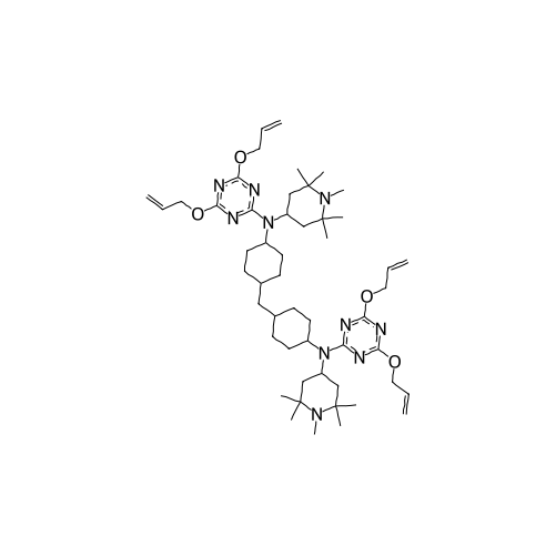 C=CCOc1nc(OCC=C)nc(N(C2CCC(CC3CCC(N(c4nc(OCC=C)nc(OCC=C)n4)C4CC(C)(C)N(C)C(C)(C)C4)CC3)CC2)C2CC(C)(C)N(C)C(C)(C)C2)n1